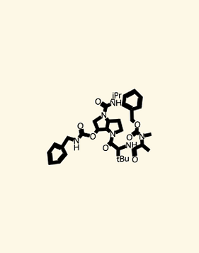 CC(C)NC(=O)N1CC(OC(=O)NCc2ccccc2)C2C1CCN2C(=O)C(NC(=O)C(C)N(C)C(=O)OCc1ccccc1)C(C)(C)C